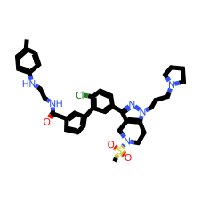 Cc1ccc(NCCNC(=O)c2cccc(-c3cc(-c4nn(CCCN5CCCC5)c5c4CN(S(C)(=O)=O)CC5)ccc3Cl)c2)cc1